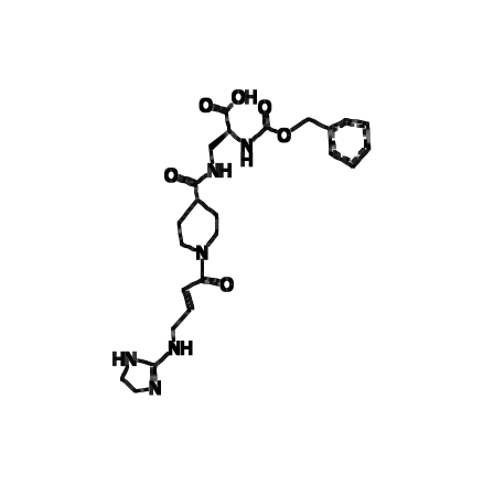 O=C(N[C@@H](CNC(=O)C1CCN(C(=O)/C=C/CNC2=NCCN2)CC1)C(=O)O)OCc1ccccc1